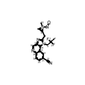 CC(F)(F)Cn1c(CC2=CS2(C)N=O)nc2cnc3ccc(C#N)cc3c21